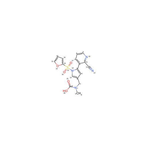 CN(Cc1cc(-c2cccnc2C#N)n(S(=O)(=O)c2ccco2)c1)C(=O)O